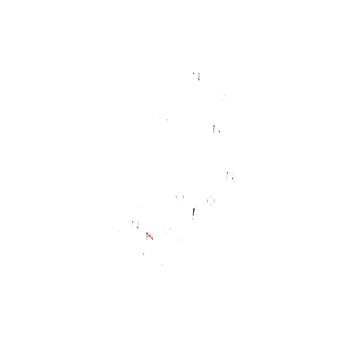 COc1ccnc(OC)c1-c1cc2cc(OC(=O)[C@H]3C[C@@H]3CN3CC4CC(C3)N4C(=O)OC(C)(C)C)ncc2n1C